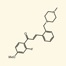 COc1ccc(C(=O)C=Cc2ccccc2CN2CCN(C)CC2)c(F)c1